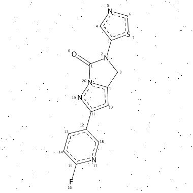 O=C1N(c2cncs2)Cc2cc(-c3ccc(F)nc3)nn21